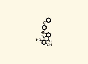 O=C1c2cccc(Nc3ccc(Oc4ccccc4)cc3)c2C(=O)c2c(O)ccc(O)c21